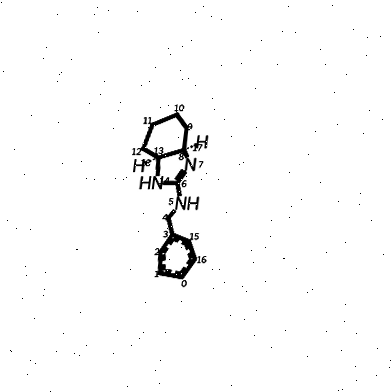 c1ccc(CNC2=N[C@@H]3CCCC[C@@H]3N2)cc1